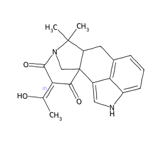 C/C(O)=C1/C(=O)N2CC3(C1=O)c1c[nH]c4cccc(c14)CC3C2(C)C